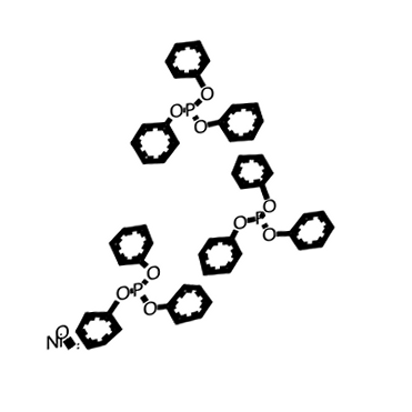 [C]=O.[Ni].c1ccc(OP(Oc2ccccc2)Oc2ccccc2)cc1.c1ccc(OP(Oc2ccccc2)Oc2ccccc2)cc1.c1ccc(OP(Oc2ccccc2)Oc2ccccc2)cc1